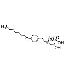 CCCCCCCOc1ccc(CC[C@@H](N)CC(O)P(=O)(O)O)cc1